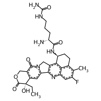 CC[C@@]1(O)C(=O)OCc2c1cc1n(c2=O)Cc2c-1nc1cc(F)c(C)c3c1c2[C@@H](NC(=O)[C@H](N)CCCNC(N)=O)CC3